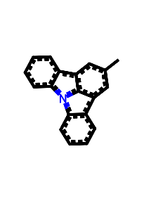 Cc1cc2c3ccccc3n3c4ccccc4c(c1)c23